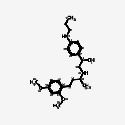 CCCNc1ccc(C(O)CNC(C)CCc2ccc(OC)cc2OC)cc1